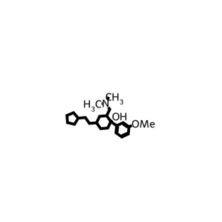 COc1cccc(C2(O)CCC(CCC3CCCC3)CC2CN(C)C)c1